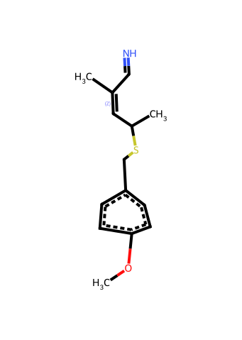 COc1ccc(CSC(C)/C=C(/C)C=N)cc1